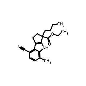 CCCCC1(C(=O)OCC)CCc2c1[nH]c1c(C)ccc(C#N)c21